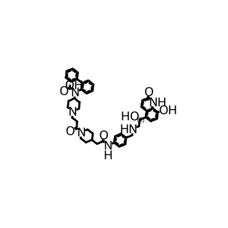 O=C(CC1CCN(C(=O)CCN2CCC(N(C(=O)O)c3ccccc3-c3ccccc3)CC2)CC1)Nc1ccc(CNC[C@H](O)c2ccc(O)c3[nH]c(=O)ccc23)cc1